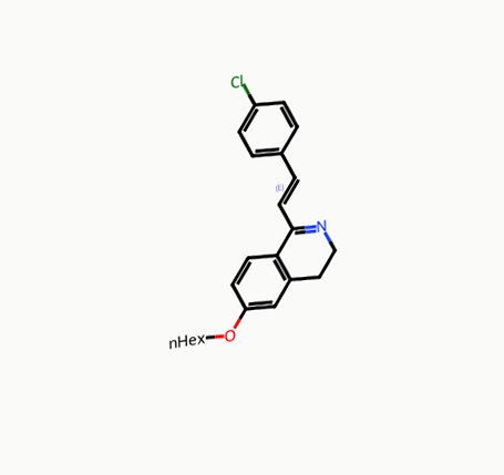 CCCCCCOc1ccc2c(c1)CCN=C2/C=C/c1ccc(Cl)cc1